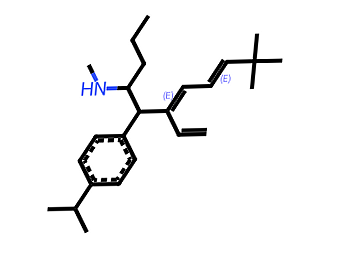 C=C/C(=C\C=C\C(C)(C)C)C(c1ccc(C(C)C)cc1)C(CCC)NC